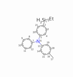 CC[SiH2]c1ccc(N(c2ccccc2)c2ccc(C)cc2)cc1